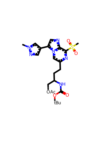 CC(=O)OCC(CCc1cn2c(-c3cnn(C)c3)cnc2c(S(C)(=O)=O)n1)NC(=O)OC(C)(C)C